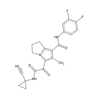 C#CC1(NC(=O)C(=O)c2c(C)c(C(=O)Nc3ccc(F)c(F)c3)c3n2CCC3)CC1